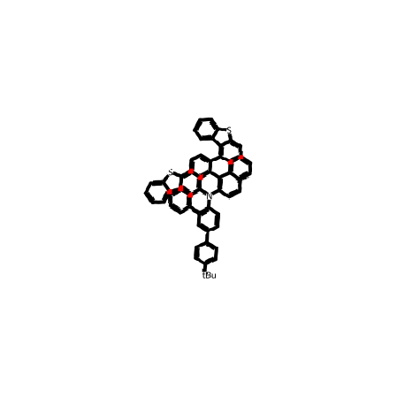 CC(C)(C)c1ccc(-c2ccc(N(c3ccc4sc5ccccc5c4c3)c3ccc4ccccc4c3-c3ccccc3-c3cccc4sc5ccccc5c34)c(-c3ccccc3)c2)cc1